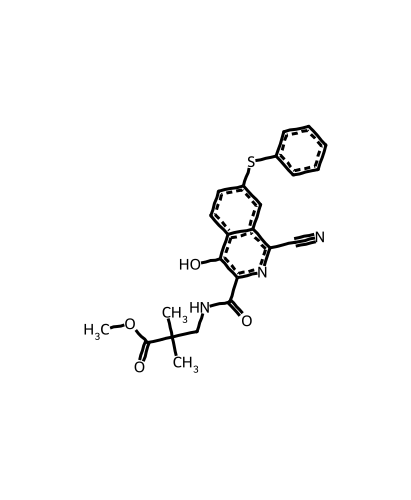 COC(=O)C(C)(C)CNC(=O)c1nc(C#N)c2cc(Sc3ccccc3)ccc2c1O